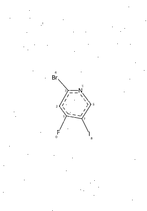 Fc1cc(Br)ncc1I